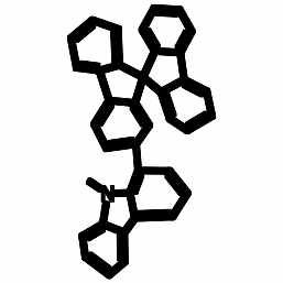 Cn1c2ccccc2c2cccc(-c3ccc4c(c3)C3(c5ccccc5-c5ccccc53)c3ccccc3-4)c21